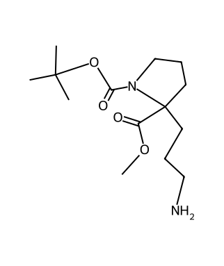 COC(=O)C1(CCCN)CCCN1C(=O)OC(C)(C)C